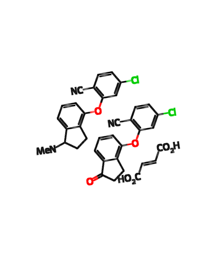 CNC1CCc2c(Oc3cc(Cl)ccc3C#N)cccc21.N#Cc1ccc(Cl)cc1Oc1cccc2c1CCC2=O.O=C(O)C=CC(=O)O